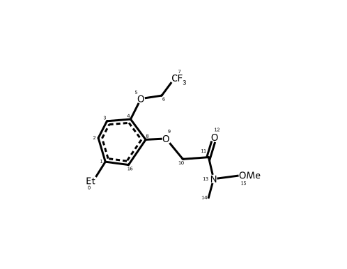 CCc1ccc(OCC(F)(F)F)c(OCC(=O)N(C)OC)c1